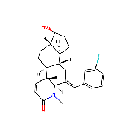 CN1C(=O)C=C[C@]2(C)[C@H]3CC[C@]4(C)[C@@H](O)CC[C@H]4[C@@H]3C/C(=C\c3cccc(F)c3)[C@@H]12